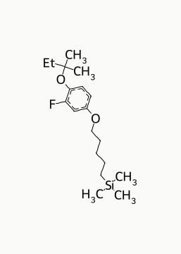 CCC(C)(C)Oc1ccc(OCCCCC[Si](C)(C)C)cc1F